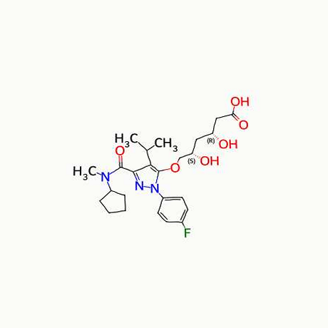 CC(C)c1c(C(=O)N(C)C2CCCC2)nn(-c2ccc(F)cc2)c1OC[C@@H](O)C[C@@H](O)CC(=O)O